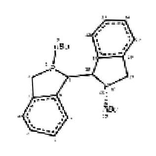 CCCCP1Cc2ccccc2C1C1c2ccccc2C[P@]1CCCC